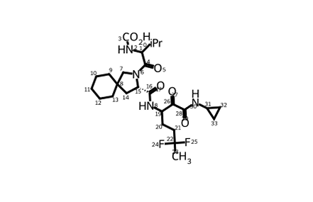 CC(C)C(NC(=O)O)C(=O)N1CC2(CCCCC2)C[C@H]1C(=O)NC(CCC(C)(F)F)C(=O)C(=O)NC1CC1